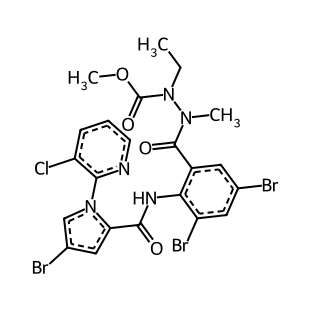 CCN(C(=O)OC)N(C)C(=O)c1cc(Br)cc(Br)c1NC(=O)c1cc(Br)cn1-c1ncccc1Cl